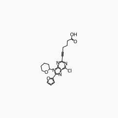 O=C(O)CCCC#Cc1nc(Cl)c2nc(-c3ccco3)n(C3CCCCO3)c2n1